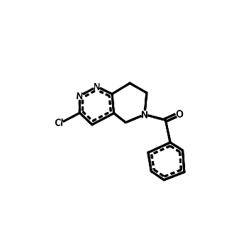 O=C(c1ccccc1)N1CCc2nnc(Cl)cc2C1